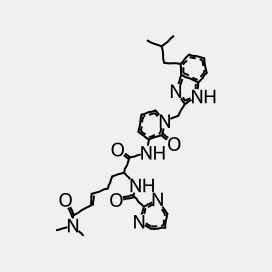 CC(C)Cc1cccc2[nH]c(Cn3cccc(NC(=O)C(CC/C=C/C(=O)N(C)C)NC(=O)c4ncccn4)c3=O)nc12